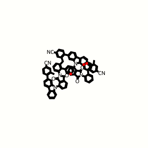 Cc1cc(C#N)ccc1-c1ccc2c3ccc(-c4ccc(C#N)cc4Cc4cccc(N5C(=O)c6cccc(-n7c8ccccc8c8ccc(-c9ccc(C#N)cc9C)cc87)c6C5=O)c4-c4ccccc4)cc3n(-c3cccc4c3C(=O)N(c3ccccc3-c3ccccc3)C4=O)c2c1